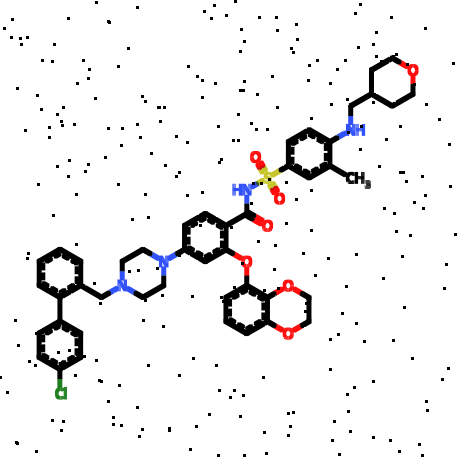 Cc1cc(S(=O)(=O)NC(=O)c2ccc(N3CCN(Cc4ccccc4-c4ccc(Cl)cc4)CC3)cc2Oc2cccc3c2OCCO3)ccc1NCC1CCOCC1